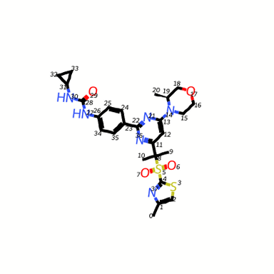 Cc1csc(S(=O)(=O)C(C)(C)c2cc(N3CCOC[C@@H]3C)nc(-c3ccc(NC(=O)NC4CC4)cc3)n2)n1